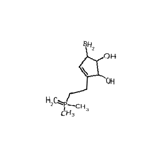 BC1C=C(CCP(=C)(C)C)C(O)C1O